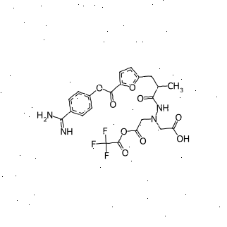 CC(Cc1ccc(C(=O)Oc2ccc(C(=N)N)cc2)o1)C(=O)NN(CC(=O)O)CC(=O)OC(=O)C(F)(F)F